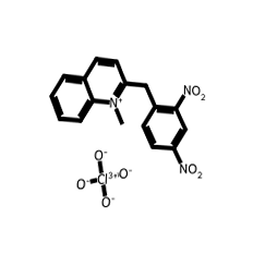 C[n+]1c(Cc2ccc([N+](=O)[O-])cc2[N+](=O)[O-])ccc2ccccc21.[O-][Cl+3]([O-])([O-])[O-]